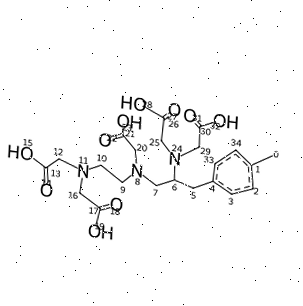 Cc1ccc(CC(CN(CCN(CC(=O)O)CC(=O)O)CC(=O)O)N(CC(=O)O)CC(=O)O)cc1